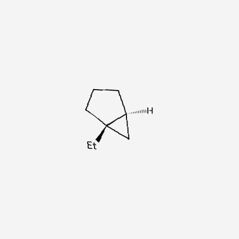 CC[C@@]12CCC[C@H]1C2